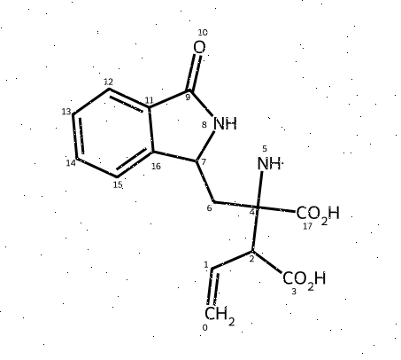 C=CC(C(=O)O)C([NH])(CC1NC(=O)c2ccccc21)C(=O)O